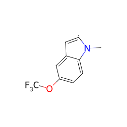 Cn1[c]cc2cc(OC(F)(F)F)ccc21